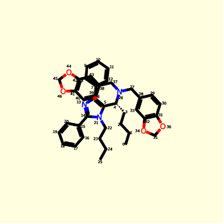 CCCC[C@H](c1c(-c2ccccc2)nc(-c2ccccc2)n1CCCC)N(Cc1ccc2c(c1)OCO2)Cc1ccc2c(c1)OCO2